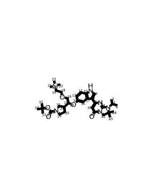 CC(C)N1c2nc(-c3c[nH]c4ccc(OC(COCC[Si](C)(C)C)C5CCN(C(=O)OC(C)(C)C)C5)cc34)cc(=O)n2CC1(C)C